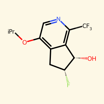 CC(C)Oc1cnc(C(F)(F)F)c2c1C[C@@H](F)[C@H]2O